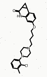 Cc1cccc(N2CCN(CCCCOc3ccc4c(c3)NC(=O)C3CC43)CC2)c1Cl